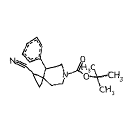 CC(C)(C)OC(=O)N1CCC2(CC2C#N)C(c2ccccc2)C1